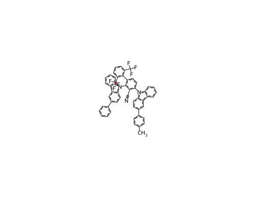 Cc1ccc(-c2ccc3c(c2)c2ccccc2n3-c2ccc(-c3c(C(F)(F)F)cccc3C(F)(F)F)c(-n3c4ccccc4c4cc(-c5ccccc5)ccc43)c2C#N)cc1